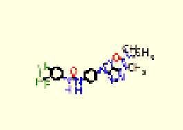 CCN(C)C(=O)N(C)c1ncnc2c1ncn2-c1ccc(NC(=O)Nc2ccc(Cl)c(C(F)(F)F)c2)cc1